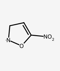 O=[N+]([O-])C1=CC[N]O1